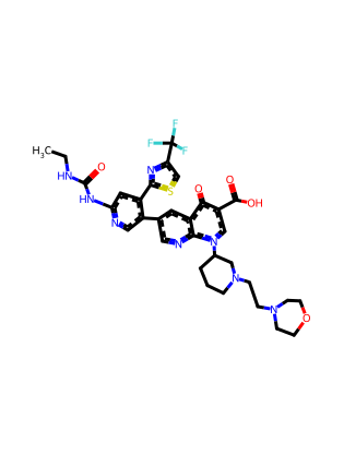 CCNC(=O)Nc1cc(-c2nc(C(F)(F)F)cs2)c(-c2cnc3c(c2)c(=O)c(C(=O)O)cn3C2CCCN(CCN3CCOCC3)C2)cn1